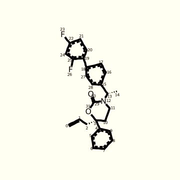 C=CC[C@@]1(c2ccccc2)CCN([C@@H](C)c2ccc(-c3ccc(F)cc3F)cc2)C(=O)O1